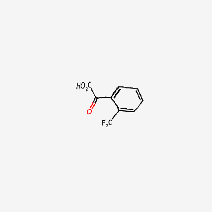 O=C(O)C(=O)c1ccccc1C(F)(F)F